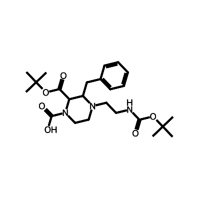 CC(C)(C)OC(=O)NCCN1CCN(C(=O)O)C(C(=O)OC(C)(C)C)C1Cc1ccccc1